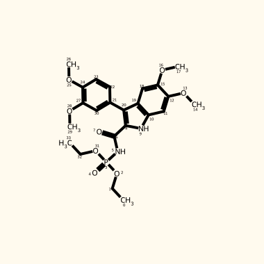 CCOP(=O)(NC(=O)c1[nH]c2cc(OC)c(OC)cc2c1-c1ccc(OC)c(OC)c1)OCC